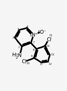 Nc1[c]cc[n+]([O-])c1-c1c(Cl)cccc1Cl